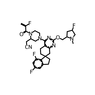 C=C(F)C(=O)N1CCN(c2nc(OCC3CC(F)CN3C)nc3c2CCC2(CCc4cc(F)cc(F)c42)C3)CC1CC#N